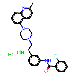 Cc1ccc2c(N3CCN(CCc4cccc(NC(=O)c5ccccc5F)c4)CC3)cccc2n1.Cl.Cl